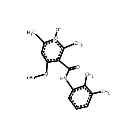 CCCCOc1cc(C)[n+]([O-])c(C)c1C(=O)Nc1cccc(C)c1C